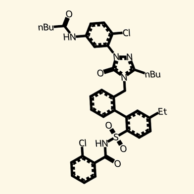 CCCCC(=O)Nc1ccc(Cl)c(-n2nc(CCCC)n(Cc3ccccc3-c3cc(CC)ccc3S(=O)(=O)NC(=O)c3ccccc3Cl)c2=O)c1